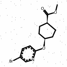 COC(=O)[C@H]1CC[C@@H](Oc2ccc(Br)cn2)CC1